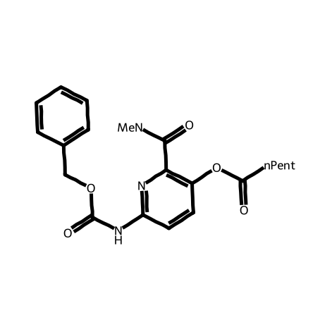 CCCCCC(=O)Oc1ccc(NC(=O)OCc2ccccc2)nc1C(=O)NC